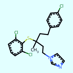 CC(CCc1ccc(Cl)cc1)(CCn1ccnc1)Sc1c(Cl)cccc1Cl